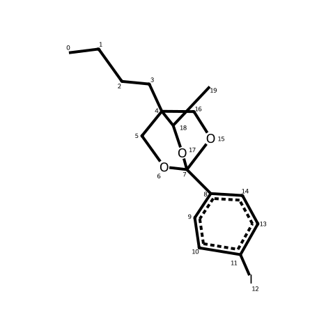 CCCCC12COC(c3ccc(I)cc3)(OC1)OC2C